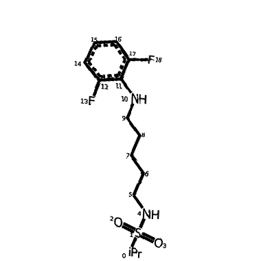 CC(C)S(=O)(=O)NCCCCCNc1c(F)cccc1F